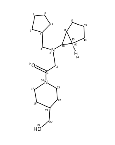 O=C(CN(CC1CCCC1)C1C2CCC[C@H]21)N1CCC(CO)CC1